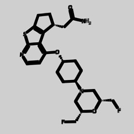 NC(=O)C[C@H]1CCc2sc3nccc(O[C@H]4CC[C@H](N5C[C@@H](CF)O[C@@H](CF)C5)CC4)c3c21